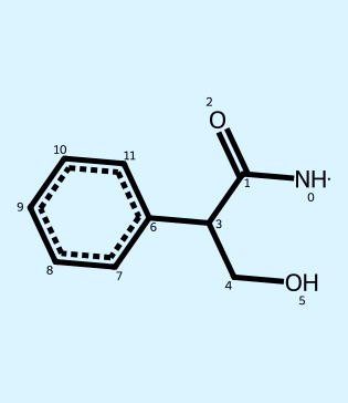 [NH]C(=O)C(CO)c1ccccc1